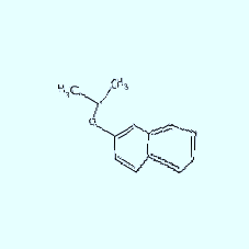 C[C](C)Oc1ccc2ccccc2c1